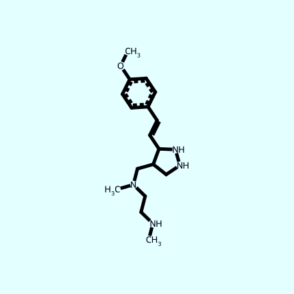 CNCCN(C)CC1CNNC1/C=C/c1ccc(OC)cc1